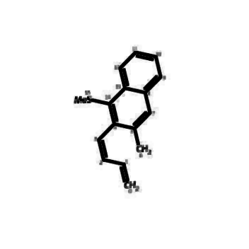 C=C/C=C\c1c(C)cc2ccccc2c1SC